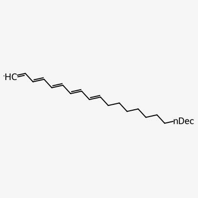 [CH]=CC=CC=CC=CC=CCCCCCCCCCCCCCCCCC